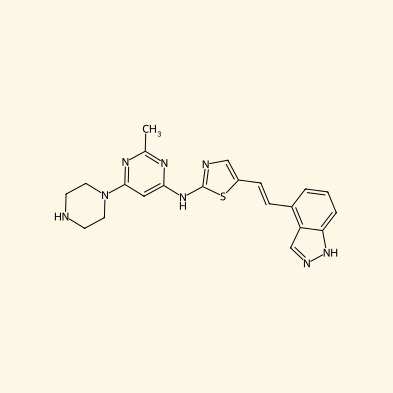 Cc1nc(Nc2ncc(C=Cc3cccc4[nH]ncc34)s2)cc(N2CCNCC2)n1